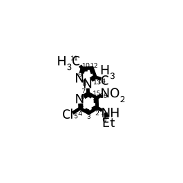 CCNc1cc(Cl)nc(-n2nc(C)cc2C)c1[N+](=O)[O-]